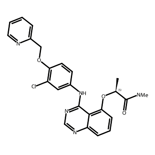 CNC(=O)[C@H](C)Oc1cccc2ncnc(Nc3ccc(OCc4ccccn4)c(Cl)c3)c12